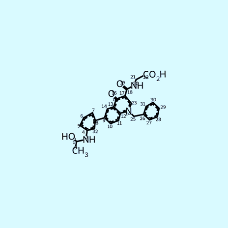 CC(O)Nc1cccc(-c2ccc3c(c2)c(=O)c(C(=O)NCC(=O)O)cn3Cc2ccccc2)c1